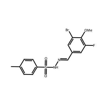 COc1c(F)cc(/C=N/NS(=O)(=O)c2ccc(C)cc2)cc1Br